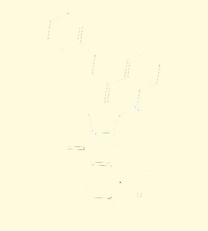 CCC1(O)C(=O)OCc2c1cc1n(c2=O)Cc2c-1nc1ccccc1c2CCc1ccccc1